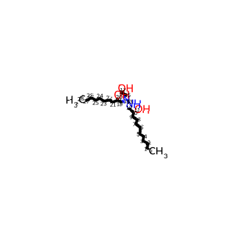 CCCCCCCCCCC(O)CNN(CCO)CC(O)CCCCCCCC